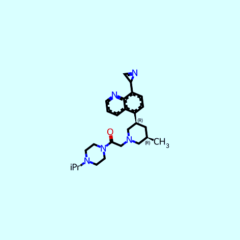 CC(C)N1CCN(C(=O)CN2C[C@H](C)C[C@H](c3ccc(C4C=N4)c4ncccc34)C2)CC1